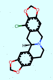 Clc1c2c(cc3c1OCO3)CN1CCc3cc4c(cc3[C@@H]1C2)OCO4